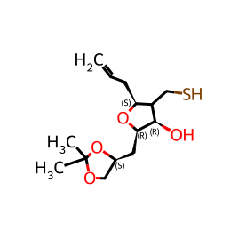 C=CC[C@@H]1O[C@H](C[C@H]2COC(C)(C)O2)[C@H](O)C1CS